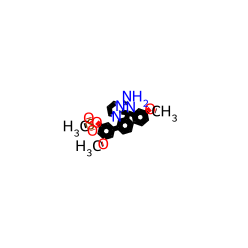 COc1cc(OS(C)(=O)=O)cc(-c2cccc(C3(c4cccc(OC)c4)N=C(N)N4CCCN=C43)c2)c1